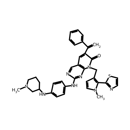 C=C(c1ccccc1)c1cc2cnc(Nc3ccc(NC4CCCN(C)C4)cc3)nc2n(Cc2ccn(C)c2-c2nccs2)c1=O